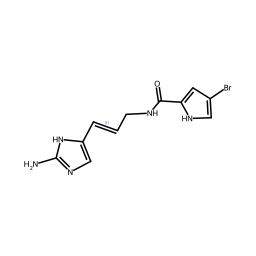 Nc1ncc(/C=C/CNC(=O)c2cc(Br)c[nH]2)[nH]1